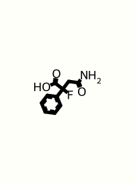 NC(=O)CC(F)(C(=O)O)c1ccccc1